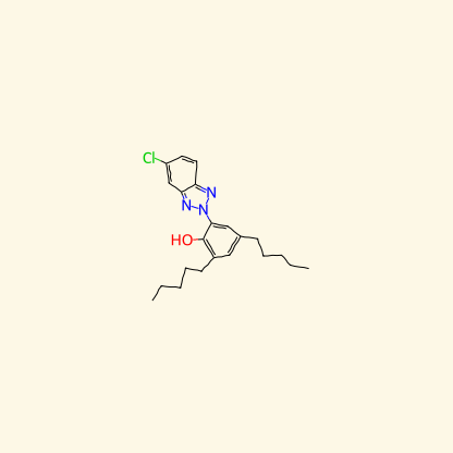 CCCCCc1cc(CCCCC)c(O)c(-n2nc3ccc(Cl)cc3n2)c1